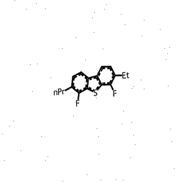 CCCc1ccc2c(sc3c(F)c(CC)ccc32)c1F